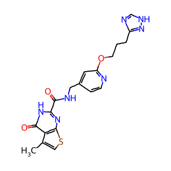 Cc1csc2nc(C(=O)NCc3ccnc(OCCCc4nc[nH]n4)c3)[nH]c(=O)c12